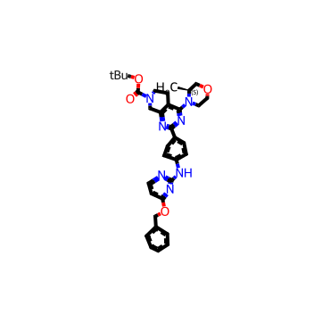 C[C@H]1COCCN1c1nc(-c2ccc(Nc3nccc(OCc4ccccc4)n3)cc2)nc2c1CCN(C(=O)OC(C)(C)C)C2